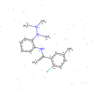 C=C(Nc1ccccc1N(C)N(C)C)c1cc(C)ccc1F